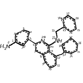 Nc1cccc(-c2cc3cccc(-c4ccccc4)c3c(NCc3ccccn3)n2)c1